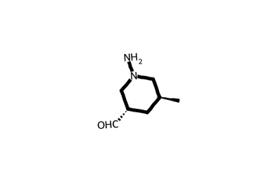 C[C@H]1C[C@H](C=O)CN(N)C1